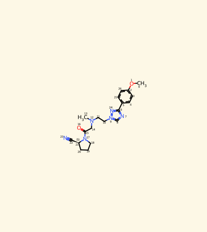 COc1ccc(-c2ncn(CCN(C)CC(=O)N3CCC[C@H]3C#N)n2)cc1